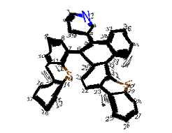 c1cncc(-c2c(-c3cccc4c3sc3ccccc34)c3ccc4c5ccccc5sc4c3c3ccccc23)c1